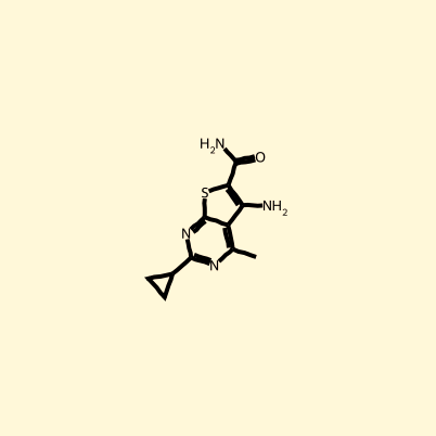 Cc1nc(C2CC2)nc2sc(C(N)=O)c(N)c12